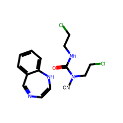 C1=CNc2ccccc2C=N1.O=NN(CCCl)C(=O)NCCCl